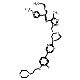 CC=C=C/C(=N\c1c(C)nnn1C[C@@H]1CN(c2ncc(-c3ccc(OCCN4CCOCC4)c(F)c3)cn2)CCO1)c1cnn(C)c1